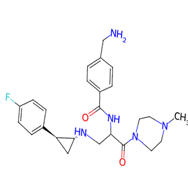 CN1CCN(C(=O)C(CN[C@@H]2C[C@H]2c2ccc(F)cc2)NC(=O)c2ccc(CN)cc2)CC1